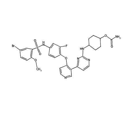 COc1ccc(Br)cc1S(=O)(=O)Nc1ccc(Oc2ccncc2-c2ccnc(NC3CCC(OC(N)=O)CC3)n2)c(F)c1